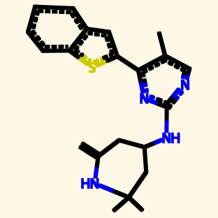 C=C1CC(Nc2ncc(C)c(-c3cc4ccccc4s3)n2)CC(C)(C)N1